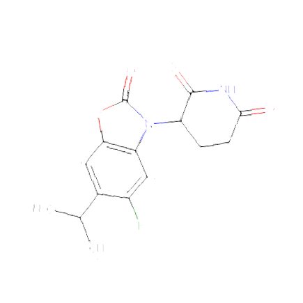 CC(C)c1cc2oc(=O)n(C3CCC(=O)NC3=O)c2cc1F